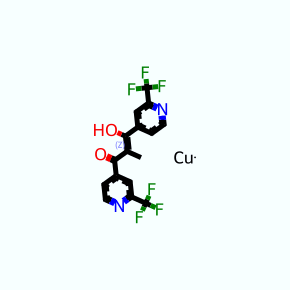 C/C(C(=O)c1ccnc(C(F)(F)F)c1)=C(/O)c1ccnc(C(F)(F)F)c1.[Cu]